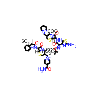 CC(C)(O/N=C(\C(=O)N[C@@H]1C(=O)N2C(C(=O)[O-])=C(C[n+]3ccccc3)CS[C@H]12)c1csc(N)n1)C(=O)O.NC(=O)c1cc[n+](CC2=C(C(=O)[O-])N3C(=O)[C@@H](NC(=O)[C@@H](c4ccccc4)S(=O)(=O)O)[C@H]3SC2)cc1